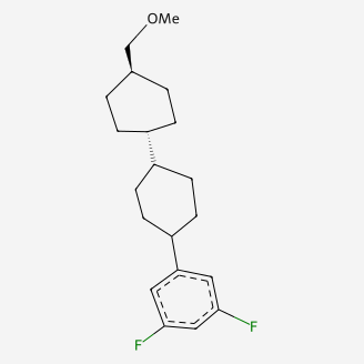 COC[C@H]1CC[C@H](C2CCC(c3cc(F)cc(F)c3)CC2)CC1